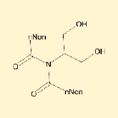 CCCCCCCCCC(=O)N(C(=O)CCCCCCCCC)C(CO)CO